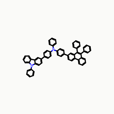 c1ccc(-c2c(-c3ccccc3)c3cc(-c4ccc(N(c5ccccc5)c5ccc(-c6ccc7c(c6)c6ccccc6n7-c6ccccc6)cc5)cc4)ccc3c3ccccc23)cc1